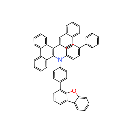 c1ccc(-c2ccc(N(c3ccc(-c4cccc5c4oc4ccccc45)cc3)c3c(-c4ccc5ccccc5c4)c4ccccc4c4ccccc34)cc2)cc1